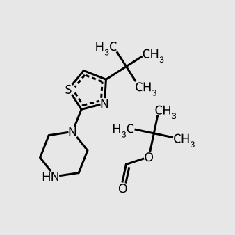 CC(C)(C)OC=O.CC(C)(C)c1csc(N2CCNCC2)n1